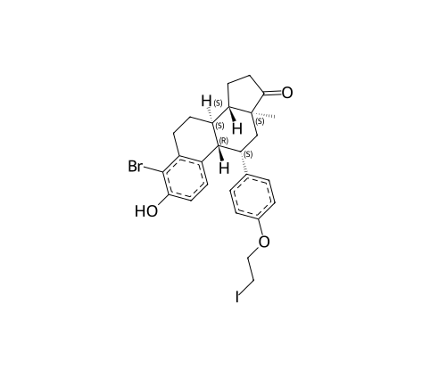 C[C@]12C[C@H](c3ccc(OCCI)cc3)[C@@H]3c4ccc(O)c(Br)c4CC[C@H]3[C@@H]1CCC2=O